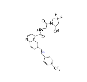 N#CC1CC(F)(F)CN1C(=O)CNC(=O)c1ccnc2ccc(/C=C/c3ccc(C(F)(F)F)cc3)cc12